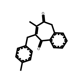 CC1=C(Cc2ccc(C)cc2)C(=O)c2ccccc2CC1=O